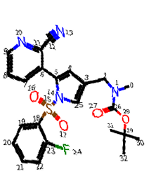 CN(Cc1cc(-c2cccnc2C#N)n(S(=O)(=O)c2ccccc2F)c1)C(=O)OC(C)(C)C